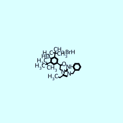 Br.CCc1cn(Cc2ccccc2)c(=N)n1CC(=O)c1cc(C(C)(C)C)c(O)c(C(C)(C)C)c1